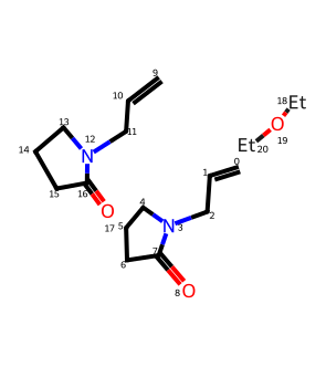 C=CCN1CCCC1=O.C=CCN1CCCC1=O.CCOCC